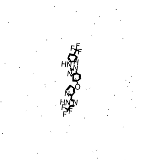 FC(F)(F)c1ccc(Nc2nc3cc(Oc4ccnc(-c5ncc(C(F)(F)F)[nH]5)c4)ccc3[nH]2)cc1